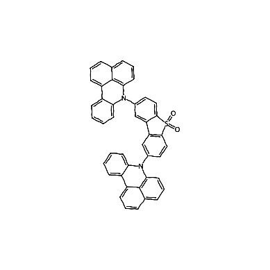 O=S1(=O)c2ccc(N3c4ccccc4-c4cccc5cccc3c45)cc2-c2cc(N3c4ccccc4-c4cccc5cccc3c45)ccc21